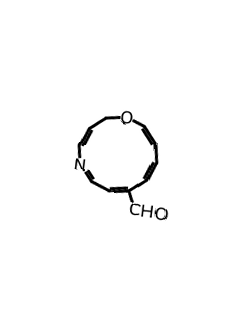 O=CC1=CC=NC=CCOC=CC=C1